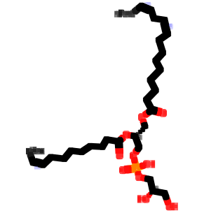 CCCCC/C=C\C/C=C\CCCCCCCC(=O)OC[C@H](COP(=O)(O)OC[C@@H](O)CO)OC(=O)CCCCCCC/C=C\CCCCCC